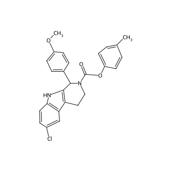 COc1ccc(C2c3[nH]c4ccc(Cl)cc4c3CCN2C(=O)Oc2ccc(C)cc2)cc1